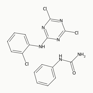 Clc1nc(Cl)nc(Nc2ccccc2Cl)n1.NC(=O)Nc1ccccc1